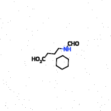 C1CCCCC1.O=CNCCCC(=O)O